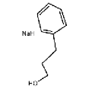 OCCCc1ccccc1.[NaH]